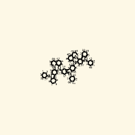 c1ccc(-n2c3ccccc3c3cc(N(c4ccc5c(c4)c4cc(N(c6ccc7c(c6)c6ccccc6n7-c6ccccc6)c6cccc7cccnc67)ccc4n5-c4ccccc4)c4cccc5cccnc45)ccc32)cc1